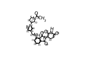 CC(=O)N1CCC(n2cc(CNc3cccc4c3C(=O)N(C3CCC(=O)NC3=O)C4=O)cn2)C1